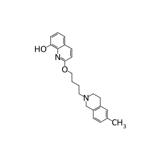 Cc1ccc2c(c1)CCN(CCCCOc1ccc3cccc(O)c3n1)C2